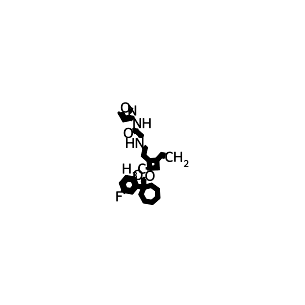 C=CC1C[C@](C)(OC(=O)C2(c3cccc(F)c3)CCCCCC2)C1CCNCC(=O)Nc1ccon1